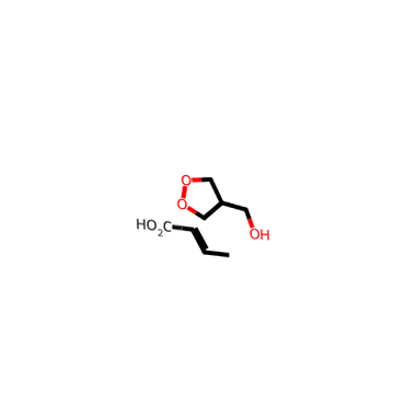 CC=CC(=O)O.OCC1COOC1